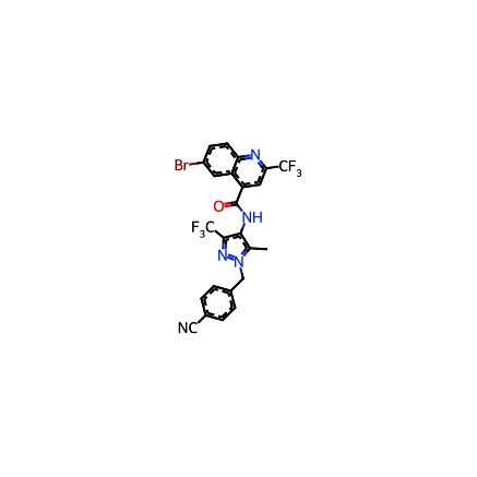 Cc1c(NC(=O)c2cc(C(F)(F)F)nc3ccc(Br)cc23)c(C(F)(F)F)nn1Cc1ccc(C#N)cc1